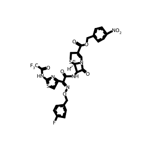 O=C(NC1C(=O)N2C=C(C(=O)OCc3ccc([N+](=O)[O-])cc3)CS[C@H]12)C(=NOCc1ccc(F)cc1)c1csc(NC(=O)C(F)(F)F)n1